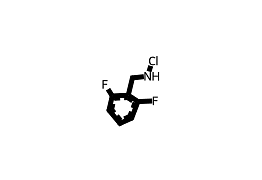 Fc1cccc(F)c1CNCl